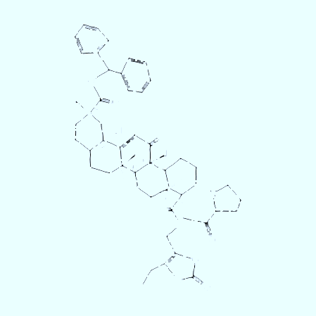 CCc1oc(=O)oc1COC(=O)[C@]1(C)[C@@H](N2CCCC2C(C)=O)CC[C@@]2(C)[C@H]1CC[C@]1(C)[C@@H]2C(=O)C=C2[C@@H]3C[C@@](C)(C(=O)OC(c4ccccc4)c4ccccc4)CC[C@]3(C)CC[C@]21C